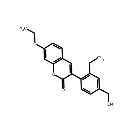 CCOc1ccc2cc(-c3ccc(CC)cc3CC)c(=O)oc2c1